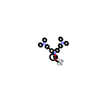 N#CC(C#N)=Cc1ccc(N2c3ccc(-c4ccc(N(c5ccccc5)c5ccccc5)cc4)cc3C3CC(c4ccc(N(c5ccccc5)c5ccccc5)cc4)CCC32C2CCCCCCCCC2)cc1